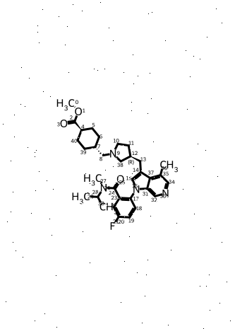 COC(=O)[C@H]1CC[C@H](CN2CC[C@@H](Cc3cn(-c4ccc(F)cc4C(=O)N(C)C(C)C)c4cncc(C)c34)C2)CC1